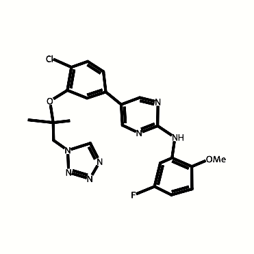 COc1ccc(F)cc1Nc1ncc(-c2ccc(Cl)c(OC(C)(C)Cn3cnnn3)c2)cn1